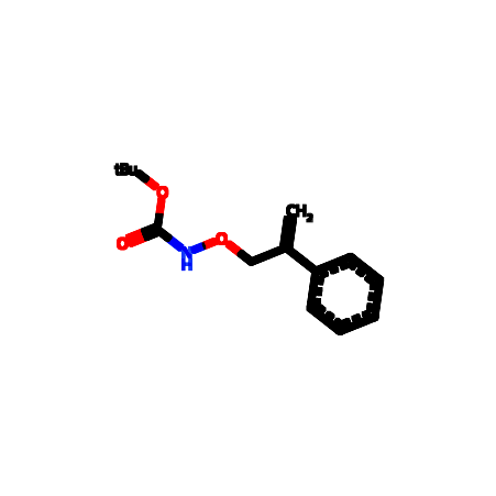 C=C(CONC(=O)OC(C)(C)C)c1ccccc1